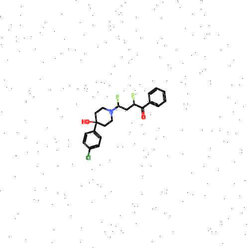 O=C(c1ccccc1)C(F)CC(F)N1CCC(O)(c2ccc(Cl)cc2)CC1